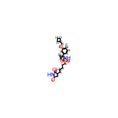 O=C1CC(CCCCCS(=O)(=O)NC2(c3ccc(F)c(OCC4CCC4)c3)CC2)C(O)N1